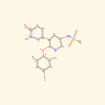 CCS(=O)(=O)Nc1cnc(Oc2c(C)cc(F)cc2C)c(-c2ccc(=O)n(C)c2)c1